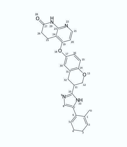 CC1=CCCC=C1c1cnc(C2COc3ccc(Oc4ccnc5c4CCC(=O)N5)cc3C2)[nH]1